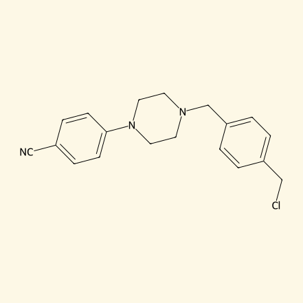 N#Cc1ccc(N2CCN(Cc3ccc(CCl)cc3)CC2)cc1